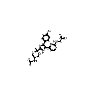 CC(=O)NC1COC(C)(c2nc(-c3ccc(F)cc3)c(-c3ccnc(NCC(=O)O)n3)[nH]2)OC1